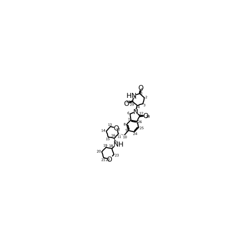 O=C1CCC(N2Cc3cc(C[C@H]4OCCC[C@@H]4NC4CCCOC4)ccc3C2=O)C(=O)N1